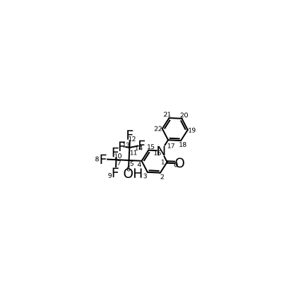 O=c1ccc(C(O)(C(F)(F)F)C(F)(F)F)cn1-c1ccccc1